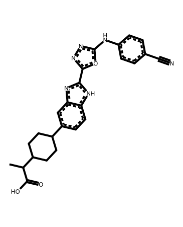 CC(C(=O)O)C1CCC(c2ccc3[nH]c(-c4nnc(Nc5ccc(C#N)cc5)o4)nc3c2)CC1